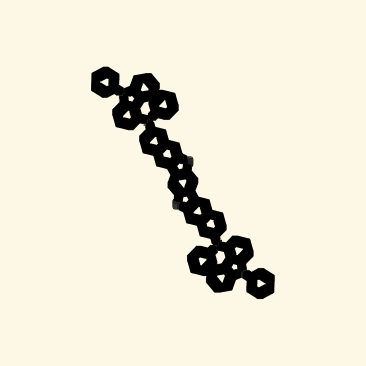 c1ccc(N(c2ccc3cc4c(cc3c2)oc2cc3c(cc24)oc2cc4cc(N(c5ccccc5)c5cccc6c5c5ccccc5n6-c5ccccc5)ccc4cc23)c2cccc3c2c2ccccc2n3-c2ccccc2)cc1